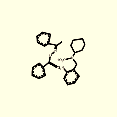 CC(=NOC(=O)c1ccccc1)c1ccccc1.O=C(O)N(Cc1ccccc1[N+](=O)[O-])C1CCCCC1